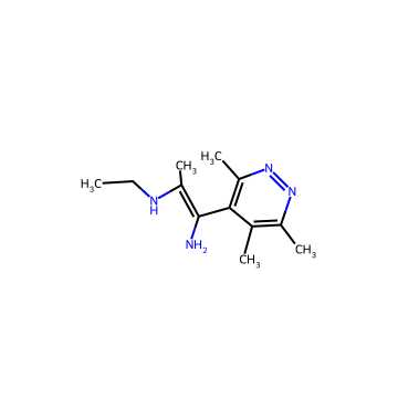 CCN/C(C)=C(\N)c1c(C)nnc(C)c1C